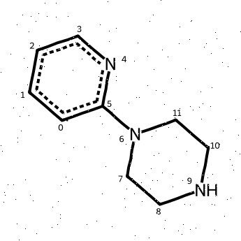 [c]1cccnc1N1CCNCC1